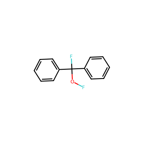 FOC(F)(c1ccccc1)c1ccccc1